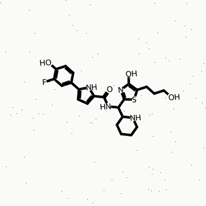 O=C(NC(c1nc(O)c(CCCO)s1)C1CCCCN1)c1ccc(-c2ccc(O)c(F)c2)[nH]1